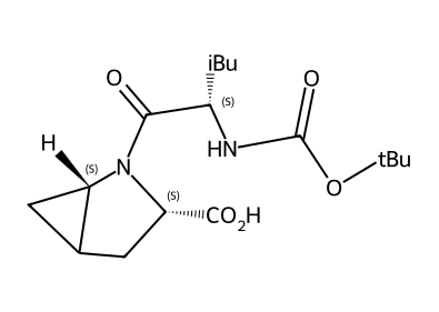 CCC(C)[C@H](NC(=O)OC(C)(C)C)C(=O)N1[C@H](C(=O)O)CC2C[C@@H]21